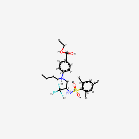 CCCCN(CC(NS(=O)(=O)c1c(C)cc(C)cc1C)C(F)(F)F)c1ccc(C(=O)OCC)cc1